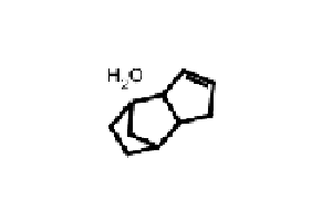 C1=CC2C3CCC(C3)C2C1.O